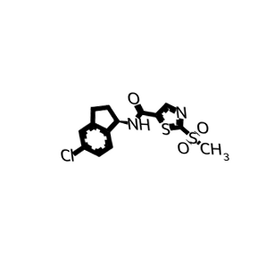 CS(=O)(=O)c1ncc(C(=O)N[C@@H]2CCc3cc(Cl)ccc32)s1